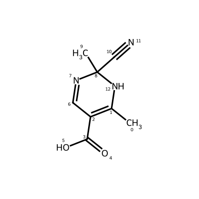 CC1=C(C(=O)O)C=NC(C)(C#N)N1